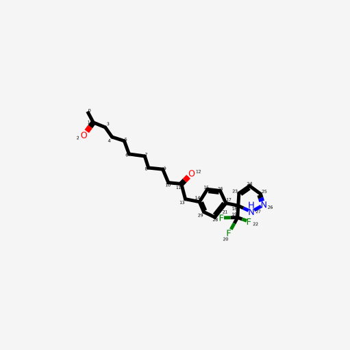 CC(=O)CCCCCCCCC(=O)Cc1ccc(C2(C(F)(F)F)C=CC=NN2)cc1